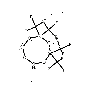 FC(F)(F)[Si]1(C(F)(F)F)O[SiH2]O[SiH2]O[Si](C(F)(F)F)(C(F)(F)F)O1